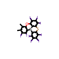 Cc1c(C)c2c(c(I)c1I)B1c3c(I)c(I)c(I)c(I)c3Sc3c(I)c(I)c(I)c(c31)O2